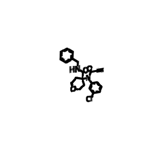 C#CC(=O)N(c1cccc(Cl)c1)C1(C(=O)NCc2ccccc2)CCOCC1